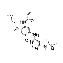 C=CC(=O)Nc1cc(Nc2cc(N(C)C(=O)NC)ncn2)c(OC)cc1N(C)CCN(C)C